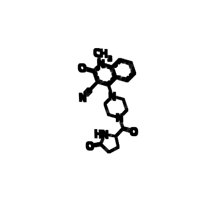 Cn1c(=O)c(C#N)c(N2CCN(C(=O)C3CCC(=O)N3)CC2)c2ccccc21